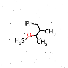 CC(C)CC(C)C(C)O[SiH3]